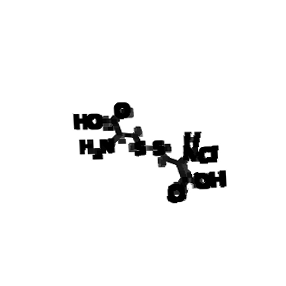 NC(CSSCC(NCl)C(=O)O)C(=O)O